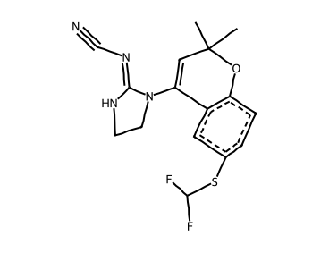 CC1(C)C=C(N2CCNC2=NC#N)c2cc(SC(F)F)ccc2O1